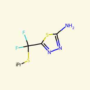 CC(C)SC(F)(F)c1nnc(N)s1